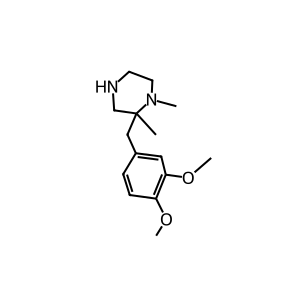 COc1ccc(CC2(C)CNCCN2C)cc1OC